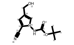 CC(C)(C)OC(=O)Nn1cc(CO)cc1C#N